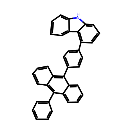 c1ccc(-c2c3ccccc3c(-c3ccc(-c4cccc5[nH]c6ccccc6c45)cc3)c3ccccc23)cc1